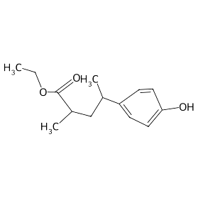 CCOC(=O)C(C)CC(C)c1ccc(O)cc1